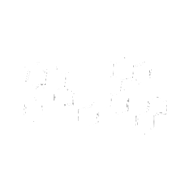 c1ccc(-c2cc(-c3cccc(-c4nc(-c5cccc6ccccc56)cc(-c5cccc6ccccc56)n4)c3)nc3ccc4ccccc4c23)cc1